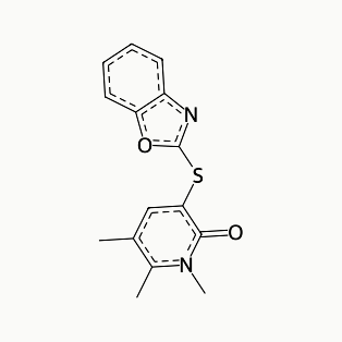 Cc1cc(Sc2nc3ccccc3o2)c(=O)n(C)c1C